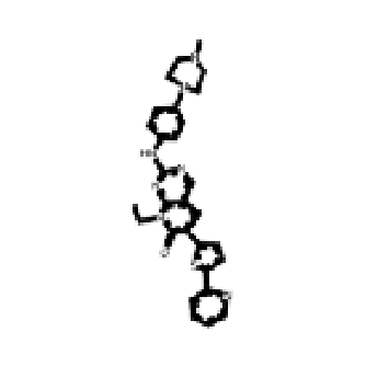 CCn1c(=O)c(-c2ccc(-c3ccccn3)s2)cc2cnc(Nc3ccc(N4CCN(C)CC4)cc3)nc21